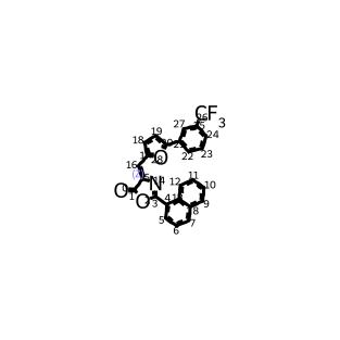 O=C1OC(c2cccc3ccccc23)=N/C1=C\c1ccc(-c2cccc(C(F)(F)F)c2)o1